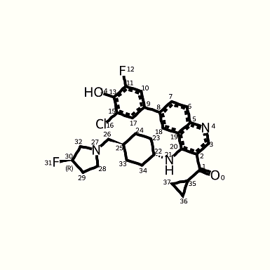 O=C(c1cnc2ccc(-c3cc(F)c(O)c(Cl)c3)cc2c1N[C@H]1CC[C@H](CN2CC[C@@H](F)C2)CC1)C1CC1